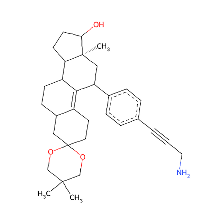 CC1(C)COC2(CCC3=C4C(c5ccc(C#CCN)cc5)C[C@]5(C)C(O)CCC5C4CCC3C2)OC1